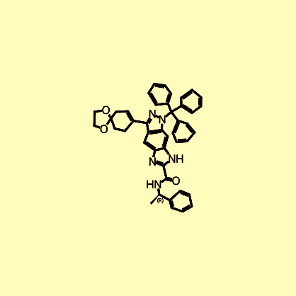 C[C@@H](NC(=O)c1nc2cc3c(C4=CCC5(CC4)OCCO5)nn(C(c4ccccc4)(c4ccccc4)c4ccccc4)c3cc2[nH]1)c1ccccc1